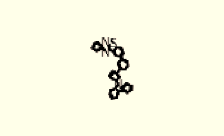 c1cc(-c2cccc(-n3c4ccccc4c4ccccc43)c2)cc(-c2ccc3sc4nc5ccccc5nc4c3c2)c1